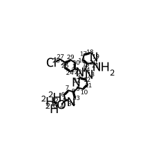 [2H]C([2H])([2H])Oc1ccc(-c2ccc3nc(-c4cccnc4N)n(-c4ccc(CCl)cc4)c3n2)cn1